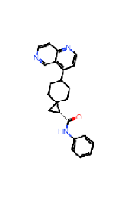 O=C(Nc1ccccc1)[C@@H]1CC12CCC(c1ccnc3ccncc13)CC2